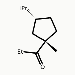 CCC(=O)[C@@]1(C)CC[C@@H](C(C)C)C1